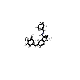 Fc1cc(Cc2ccc3[nH]nc(/C=C/c4ccccn4)c3c2)cc(F)c1F